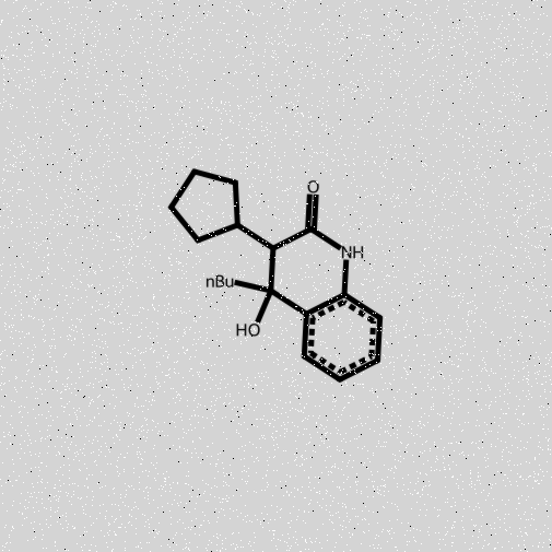 CCCCC1(O)c2ccccc2NC(=O)C1C1CCCC1